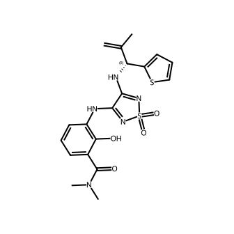 C=C(C)[C@@H](NC1=NS(=O)(=O)N=C1Nc1cccc(C(=O)N(C)C)c1O)c1cccs1